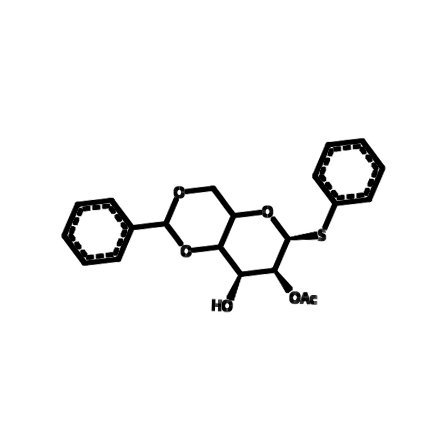 CC(=O)O[C@@H]1[C@H](Sc2ccccc2)OC2COC(c3ccccc3)OC2[C@@H]1O